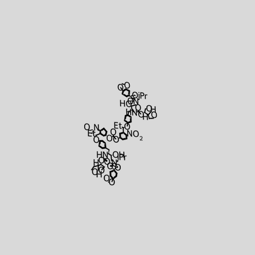 CCC(Oc1ccc(C[C@H](NC(=O)O[C@H]2CO[C@H]3OCC[C@H]32)[C@H](O)CN(CC(C)C)S(=O)(=O)c2ccc3c(c2)OCO3)cc1)c1cc(OC(=O)Oc2ccc([N+](=O)[O-])c(C(CC)Oc3ccc(C[C@H](NC(=O)O[C@H]4CO[C@H]5OCC[C@H]54)[C@H](O)CN(CC(C)C)S(=O)(=O)c4ccc5c(c4)OCO5)cc3)c2)ccc1[N+](=O)[O-]